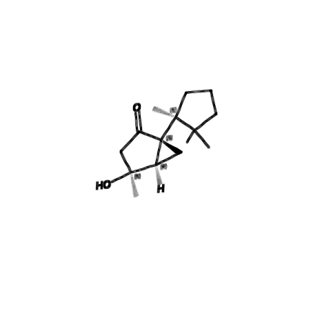 CC1(C)CCC[C@]1(C)[C@]12C[C@H]1[C@@](C)(O)CC2=O